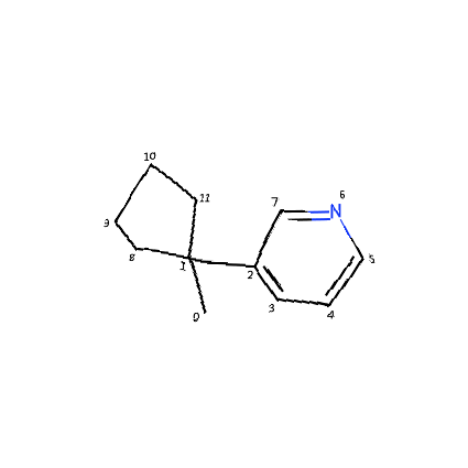 CC1(c2cccnc2)CCCC1